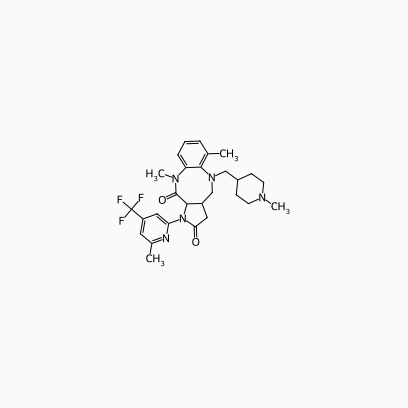 Cc1cc(C(F)(F)F)cc(N2C(=O)CC3CN(CC4CCN(C)CC4)c4c(C)cccc4N(C)C(=O)C32)n1